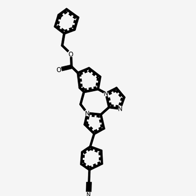 N#Cc1ccc(-c2cc3n(c2)Cc2cc(C(=O)OCc4ccccc4)ccc2-n2ccnc2-3)cc1